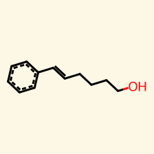 OCCCC/C=C/c1ccccc1